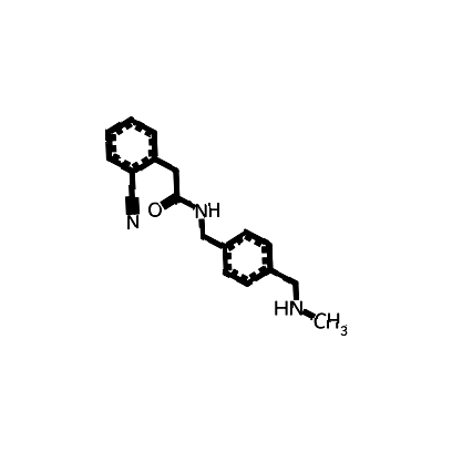 CNCc1ccc(CNC(=O)Cc2ccccc2C#N)cc1